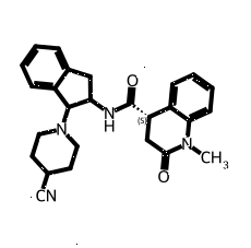 CN1C(=O)C[C@H](C(=O)NC2Cc3ccccc3C2N2CCC(C#N)CC2)c2ccccc21